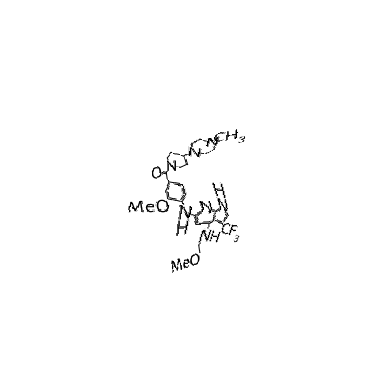 COCCNc1cc(Nc2ccc(C(=O)N3CCC(N4CCN(C)CC4)CC3)cc2OC)nc2[nH]cc(C(F)(F)F)c12